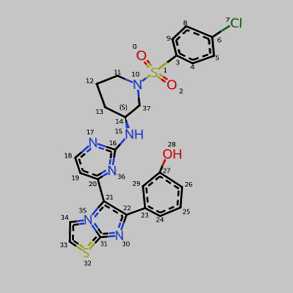 O=S(=O)(c1ccc(Cl)cc1)N1CCC[C@H](Nc2nccc(-c3c(-c4cccc(O)c4)nc4sccn34)n2)C1